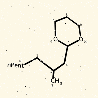 CCCCCCC(C)CC1OCCCO1